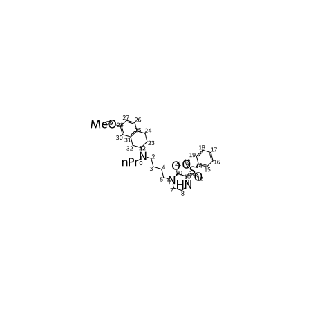 CCCN(CCCCN1CCNC(S(=O)(=O)c2ccccc2)C1=O)C1CCc2ccc(OC)cc2C1